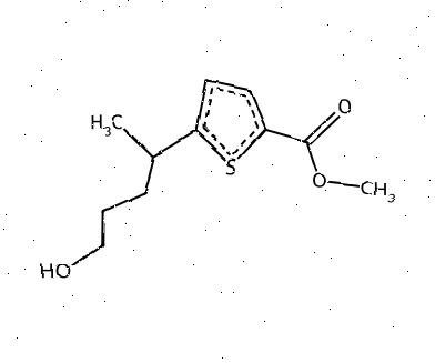 COC(=O)c1ccc(C(C)CCCO)s1